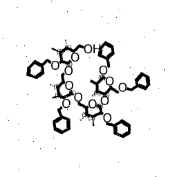 CC1[C@H](OCc2ccccc2)OC(COCc2ccccc2)[C@@H](O[C@@H]2OC(CO[C@H]3OC(CO[C@H]4OC(CO)[C@@H](C)[C@H](C)C4OCc4ccccc4)[C@@H](C)[C@H](C)C3OCc3ccccc3)[C@@H](C)[C@H](C)C2OCc2ccccc2)[C@@H]1C